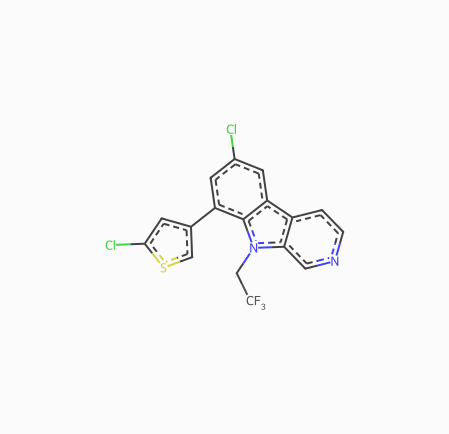 FC(F)(F)Cn1c2cnccc2c2cc(Cl)cc(-c3csc(Cl)c3)c21